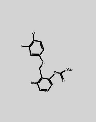 CCc1ccc(OCc2c(I)cccc2OC(=O)OC)cc1F